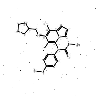 CCOc1ccc(N(C(=O)OC(C)(C)C)c2c(C)c(NCC3CCCN3)c(C#N)c3ccnn23)cc1